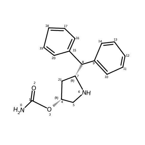 NC(=O)O[C@H]1CN[C@@H](C(c2ccccc2)c2ccccc2)C1